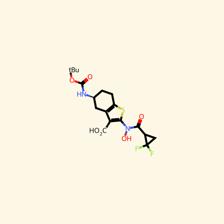 CC(C)(C)OC(=O)N[C@H]1CCc2sc(N(O)C(=O)C3CC3(F)F)c(C(=O)O)c2C1